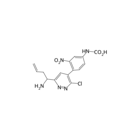 C=CCC(N)c1cc(-c2ccc(NC(=O)O)cc2[N+](=O)[O-])c(Cl)nn1